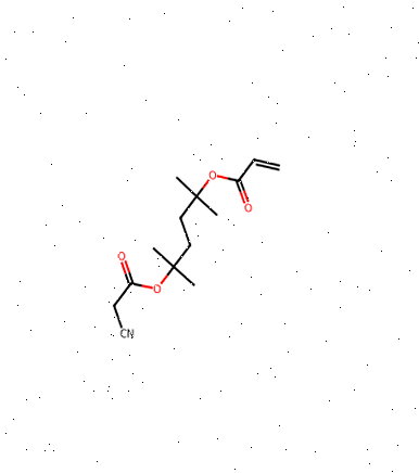 C=CC(=O)OC(C)(C)CCC(C)(C)OC(=O)CC#N